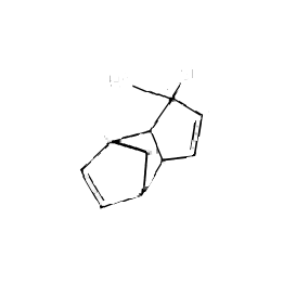 SC1(S)C=CC2C3C=CC(C3)C21